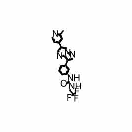 Cc1cc(-c2cnc3c(-c4cccc(NC(=O)NCC(F)(F)F)c4)cnn3c2)ccn1